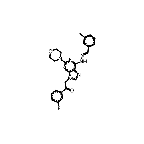 Cc1cccc(C=NNc2nc(N3CCOCC3)nc3c2ncn3CC(=O)c2cccc(F)c2)c1